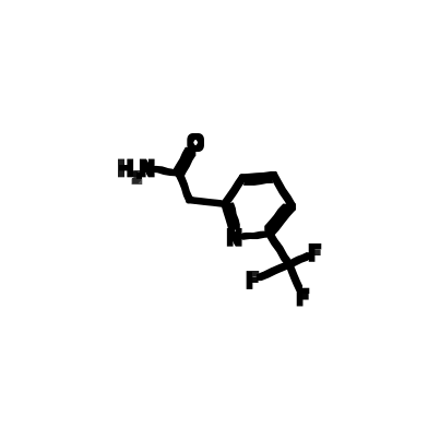 NC(=O)Cc1cccc(C(F)(F)F)n1